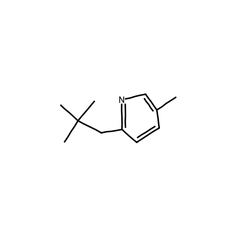 Cc1ccc(CC(C)(C)C)nc1